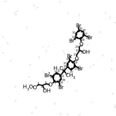 COCC(O)COc1c(Br)cc(C(C)(C)c2cc(Br)c(OCC(O)COc3c(Br)cc(Br)cc3Br)c(Br)c2)cc1Br